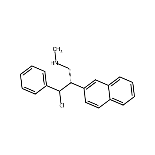 CNC[C@H](c1ccc2ccccc2c1)C(Cl)c1ccccc1